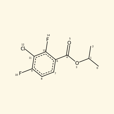 CC(C)OC(=O)c1ccc(F)c(Cl)c1F